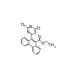 CCOC(=O)c1c(-c2cc(Cl)nc(Cl)n2)c2ccccc2c2ccccc12